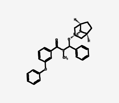 CN(C(=O)c1cccc(Oc2ccccc2)c1)C(O[C@@H]1C[C@H]2CC[C@@H](C1)N2C)c1ccccc1